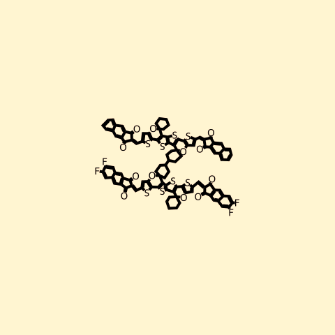 O=C1C(=Cc2cc3c(s2)-c2sc4c5c(sc4c2C2(CCCCC2)O3)-c2sc(C=C3C(=O)c4cc6ccccc6cc4C3=O)cc2OC52CCC(C3CCC4(CC3)Oc3cc(C=C5C(=O)c6cc7cc(F)c(F)cc7cc6C5=O)sc3-c3sc5c6c(sc5c34)-c3sc(C=C4C(=O)c5cc7cc(F)c(F)cc7cc5C4=O)cc3OC63CCCCC3)CC2)C(=O)c2cc3ccccc3cc21